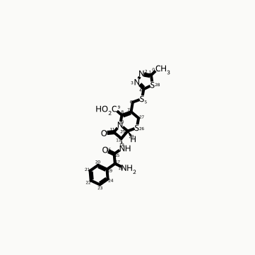 Cc1nnc(SCC2=C(C(=O)O)N3C(=O)[C@@H](NC(=O)C(N)c4ccccc4)[C@H]3SC2)s1